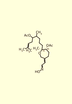 CC(=O)OC(CC=C(C)C)C(C)CCC[C@]1(C)OCC(=CC=NO)CC[C@H]1OC(C)=O